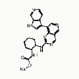 CC(C)(C)OC(=O)N[C@H]1CCCC[C@H]1Nc1ncc2cncc(-c3c[nH]c4cnccc34)c2n1